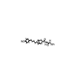 CCCNC(=O)CNC(=O)N1CC2CC(CN(CCCCc3ccc(C#N)cc3)C2)C1